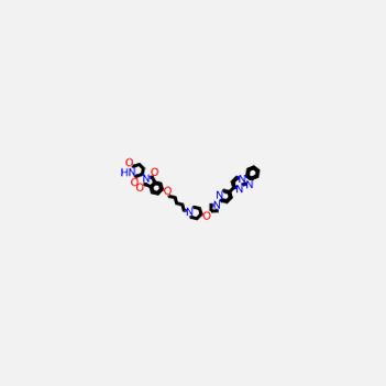 O=C1CCC(N2C(=O)c3ccc(OCCCCCN4CCC(OC5CN(c6ccc(-c7ccn8c(n7)nc7ccccc78)cn6)C5)CC4)cc3C2=O)C(=O)N1